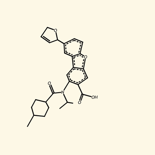 CC1CCC(C(=O)N(c2cc3c(cc2C(=O)O)oc2ccc(C4C=CCO4)cc23)C(C)C)CC1